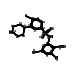 COc1c(Cl)cc(Cl)cc1NS(=O)(=O)c1ccc(C)c(N2CCNCC2)c1